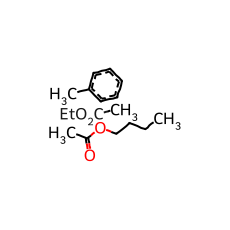 CCCCOC(C)=O.CCOC(C)=O.Cc1ccccc1